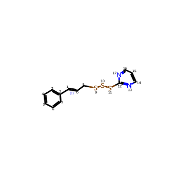 C(=C\c1ccccc1)/CSSSc1ncccn1